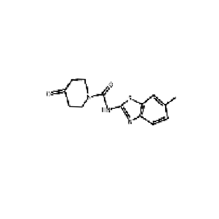 Cc1ccc2nc(NC(=O)N3CCC(=O)CC3)sc2c1